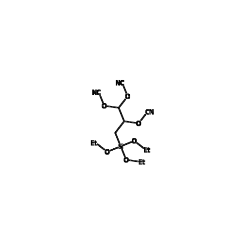 CCO[Si](CC(OC#N)C(OC#N)OC#N)(OCC)OCC